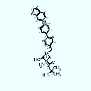 CC(C)(C)OC(=O)C(N)(CSCc1ccc(-c2ccc(-c3ccc4c(c3)OCO4)cc2)cc1)C(=O)O